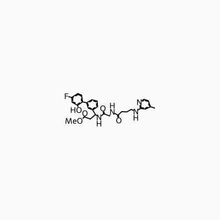 COC(=O)CC(NC(=O)CNC(=O)CCCNc1cc(C)ccn1)c1cccc(-c2ccc(F)cc2O)c1